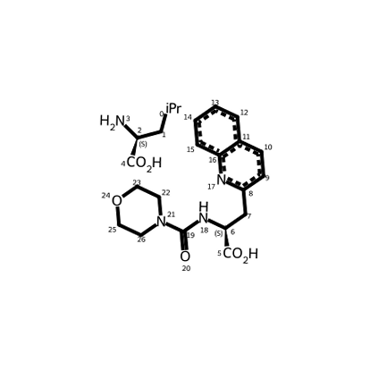 CC(C)C[C@H](N)C(=O)O.O=C(O)[C@H](Cc1ccc2ccccc2n1)NC(=O)N1CCOCC1